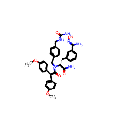 COc1ccc(C(C(=O)N(Cc2ccc(CNC(N)=O)cc2)[C@H](Cc2cccc(C(N)=NO)c2)C(N)=O)c2ccc(OC)cc2)cc1